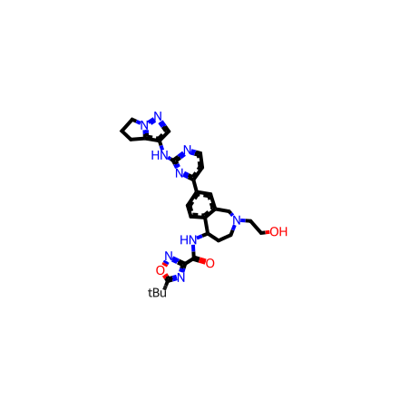 CC(C)(C)c1nc(C(=O)NC2CCN(CCO)Cc3cc(-c4ccnc(Nc5cnn6c5CCC6)n4)ccc32)no1